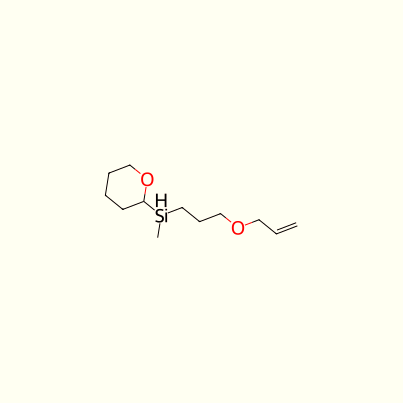 C=CCOCCC[SiH](C)C1CCCCO1